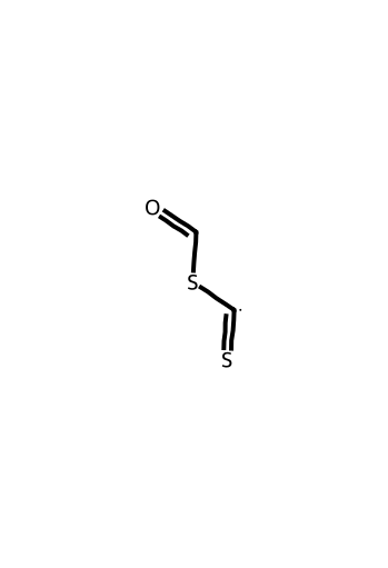 O=CS[C]=S